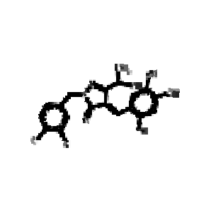 CC(C)C1=NN(Cc2ccc(Cl)c(Cl)c2)C(=O)/C1=C/c1cc(O)c(O)cc1O